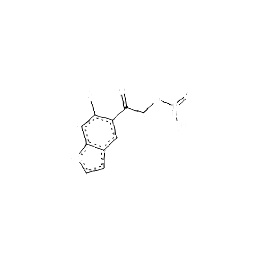 O=C(CO[PH](=O)O)c1cc2ccoc2cc1F